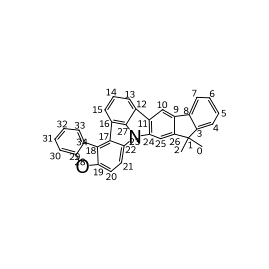 CC1(C)c2ccccc2-c2cc3c4cccc5c6c7c(ccc6n(c3cc21)c45)oc1ccccc17